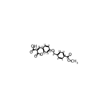 COC(=O)c1ccc(COc2ccc3cc(C(=O)O)c(=O)oc3c2)cc1